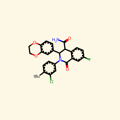 CC(C)(C)c1ccc(N2C(=O)c3cc(F)ccc3C(C(N)=O)C2c2ccc3c(c2)OCCO3)cc1Cl